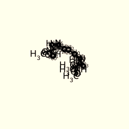 COC(=O)NC(C(=O)N1CCCC1c1ncc(-c2ccc3cc(-c4ccc(-c5cnc(C6C7CCC(C7)N6C(=O)C(NC(=O)OC)C(C)C)[nH]5)cc4)ccc3c2)[nH]1)c1ccccc1